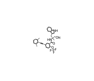 Cc1cccc(C)c1C#Cc1ccc(OC(F)(F)F)c(C(=O)NC(C)(CO)Cc2c[nH]c3ccccc23)c1